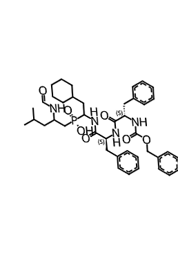 CC(C)CC(CP(=O)(O)C(CC1CCCCC1)NC(=O)[C@H](Cc1ccccc1)NC(=O)[C@H](Cc1ccccc1)NC(=O)OCc1ccccc1)NC=O